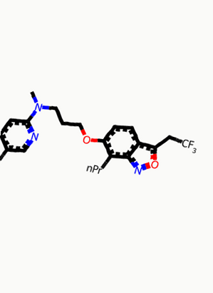 CCCc1c(OCCCN(C)c2ccc(C(=O)O)cn2)ccc2c(CC(F)(F)F)onc12